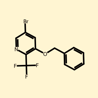 FC(F)(F)c1ncc(Br)cc1OCc1ccccc1